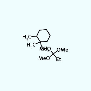 CC1CCCCC1(C)C.CCC(OC)(OC)OC